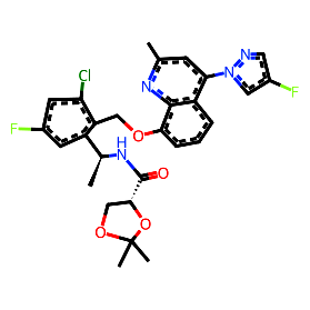 Cc1cc(-n2cc(F)cn2)c2cccc(OCc3c(Cl)cc(F)cc3[C@H](C)NC(=O)[C@H]3COC(C)(C)O3)c2n1